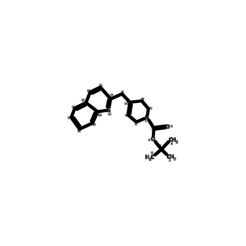 CC(C)(C)OC(=O)N1CC=C(Cc2ccc3ccccc3n2)CC1